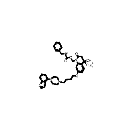 CC1(C)CC(=O)N(COC(=O)NCc2ccccc2)c2cc(OCCCCN3CCN(c4cccc5sccc45)CC3)ccc21